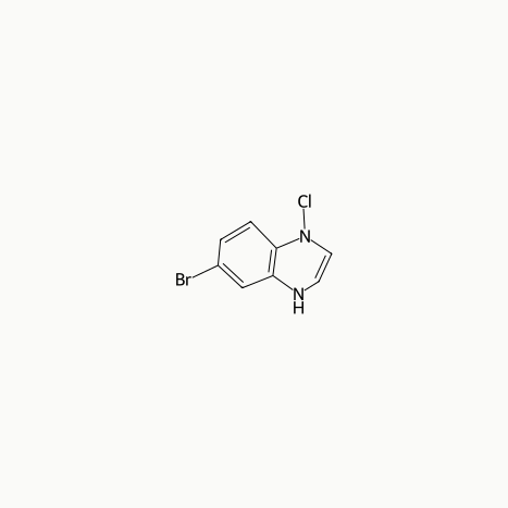 ClN1C=CNc2cc(Br)ccc21